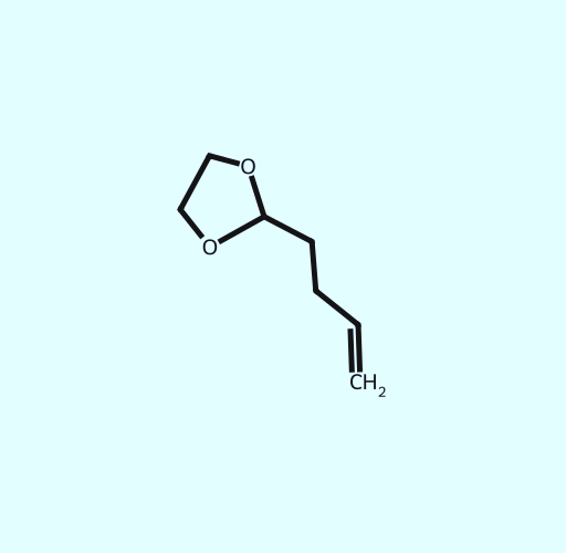 C=CCCC1OCCO1